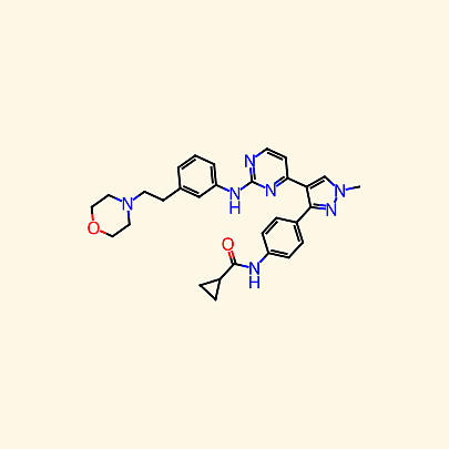 Cn1cc(-c2ccnc(Nc3cccc(CCN4CCOCC4)c3)n2)c(-c2ccc(NC(=O)C3CC3)cc2)n1